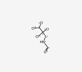 O=CNSC(Cl)(Cl)C(Cl)Cl